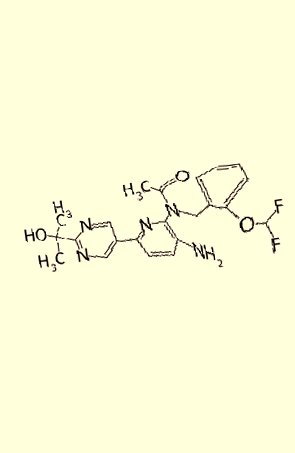 CC(=O)N(Cc1ccccc1OC(F)F)c1nc(-c2cnc(C(C)(C)O)nc2)ccc1N